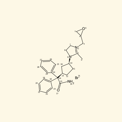 CC1=[N+](CC2CO2)CCN1[C@H]1CC[C@@H](C(C(N)=O)(c2ccccc2)c2ccccc2)C1.[Br-]